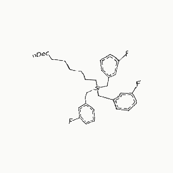 CCCCCCCCCCCCCCCC[Si](Cc1cccc(F)c1)(Cc1cccc(F)c1)Cc1cccc(F)c1